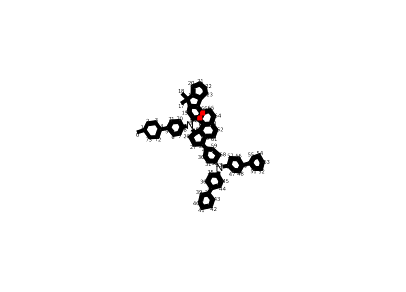 CC1C=CC(c2ccc(N(c3ccc4c(c3)C(C)(C)c3ccccc3-4)c3ccc(-c4ccc(N(c5ccc(-c6ccccc6)cc5)c5ccc(-c6ccccc6)cc5)cc4)c4ccc5ccccc5c34)cc2)=CC1